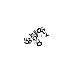 CC(C)CN(C[C@@H](O)[C@H](Cc1ccccc1)NC(=O)OC1CO[C@H]2OCC[C@@H]12)S(=O)(=O)c1ccc2onc(CSC(C)C)c2c1